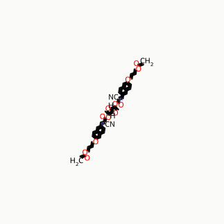 C=CC(=O)OCCCCOc1ccc2cc(/C=C(\C#N)C(=O)O[C@H]3CO[C@H]4[C@@H]3OC[C@H]4OC(=O)/C(C#N)=C/c3ccc4cc(OCCCCOC(=O)C=C)ccc4c3)ccc2c1